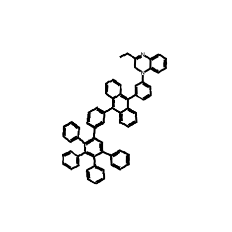 CCC1=Nc2ccccc2N(c2cccc(-c3c4ccccc4c(-c4cccc(-c5cc(-c6ccccc6)c(-c6ccccc6)c(-c6ccccc6)c5-c5ccccc5)c4)c4ccccc34)c2)C1